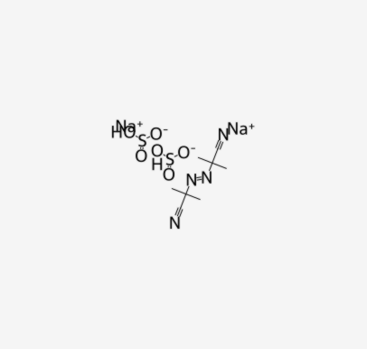 CC(C)(C#N)N=NC(C)(C)C#N.O=S([O-])O.O=S([O-])O.[Na+].[Na+]